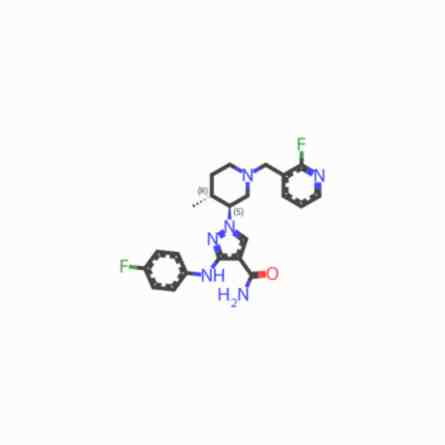 C[C@@H]1CCN(Cc2cccnc2F)C[C@H]1n1cc(C(N)=O)c(Nc2ccc(F)cc2)n1